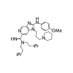 COc1ccc(Nc2nc3cnc(C(=N)N(CCC(C)C)CCC(C)C)cc3n2CCCN2CCCCC2)cc1